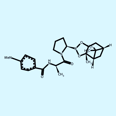 CNc1ccc(C(=O)N[C@H](C)C(=O)N2CCC[C@H]2B2OC3C[C@@H]4C[C@@H](C4(C)C)[C@]3(C)O2)cc1